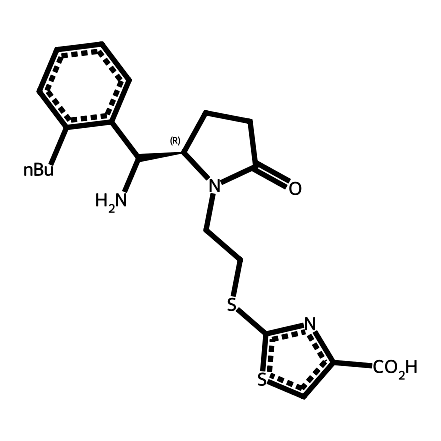 CCCCc1ccccc1C(N)[C@H]1CCC(=O)N1CCSc1nc(C(=O)O)cs1